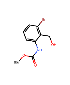 CC(C)(C)OC(=O)Nc1cccc(Br)c1CO